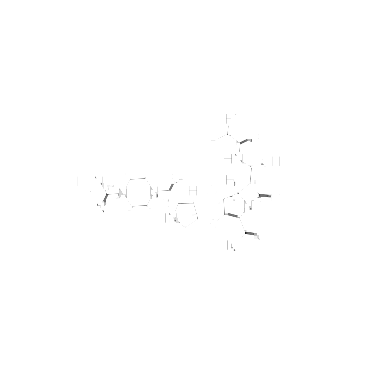 C[C@@H](NC(=O)C(F)F)[C@H]1C(=O)N2C(C(=O)O)=C(S[C@@H]3CN[C@H](C(=O)N4CCN(C(=N)N)CC4)C3)[C@H](C)[C@@H]12